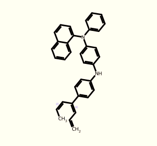 C=C/C=C(\C=C/C)c1ccc(Nc2ccc(N(c3ccccc3)c3cccc4ccccc34)cc2)cc1